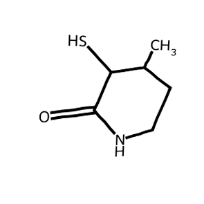 CC1CCNC(=O)C1S